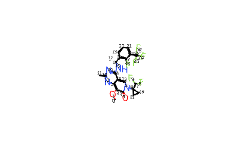 COc1c(=O)n(C2(C(F)F)CC2)cc2c(N[C@H](C)c3cccc(C(F)(F)F)c3F)nc(C)nc12